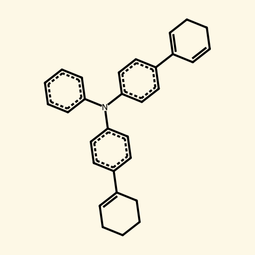 C1=CC(c2ccc(N(c3ccccc3)c3ccc(C4=CCCCC4)cc3)cc2)=CCC1